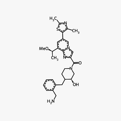 CO[C@H](C)c1cc(-c2sc(C)nc2C)cn2cc(C(=O)N3CCC(Cc4ccccc4CN)[C@H](O)C3)nc12